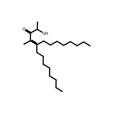 [CH2]C(O)C(=O)C(C)=C(CCCCCCCC)CCCCCCCC